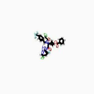 O=C(OC12CC(C(C(=O)Nc3ncc(Cl)cc3F)N(Cc3ccc(C(F)(F)F)cc3)C(=O)CCl)(C1)C2)c1ccccc1